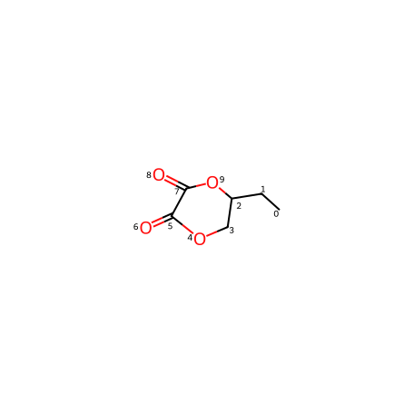 CCC1COC(=O)C(=O)O1